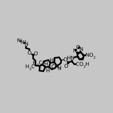 CC(CCC(=O)OCCN=[N+]=[N-])C1CC[C@H]2[C@@H]3CC[C@@H]4C[C@H](OC(=O)C(CC(=O)O)Nc5ccc([N+](=O)[O-])c6nonc56)CC[C@]4(C)[C@H]3CC[C@]12C